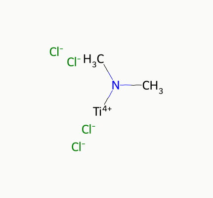 C[N](C)[Ti+4].[Cl-].[Cl-].[Cl-].[Cl-]